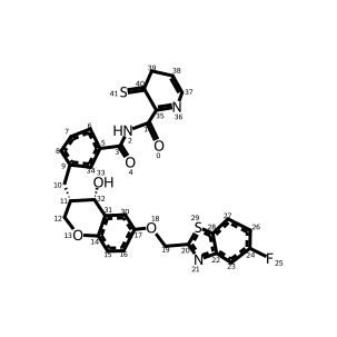 O=C(NC(=O)c1cccc(C[C@H]2COc3ccc(OCc4nc5cc(F)ccc5s4)cc3[C@H]2O)c1)C1=NC=CCC1=S